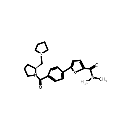 CN(C)C(=O)c1ccc(-c2ccc(C(=O)N3CCC[C@H]3CN3CCCC3)cc2)s1